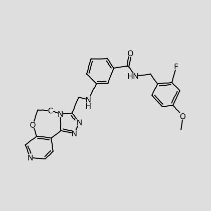 COc1ccc(CNC(=O)c2cccc(NCc3nnc4n3CCOc3cnccc3-4)c2)c(F)c1